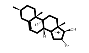 C[C@H]1CC[C@@]2(C)C(=CC[C@H]3[C@@H]4C[C@@H](Br)[C@H](O)[C@@]4(C)CC[C@@H]32)C1